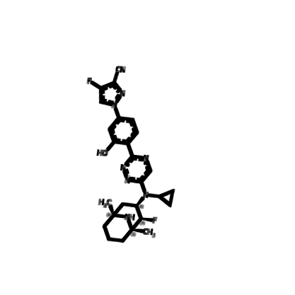 C[C@]12CCC[C@](C)(N1)[C@H](F)[C@H](N(c1cnc(-c3ccc(-n4cc(F)c(C#N)n4)cc3O)nn1)C1CC1)C2